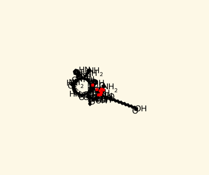 CCCC[C@H](NC(=O)[C@H](CO)NC(=O)[C@H](Cc1c[nH]cn1)NC(=O)C(CCC(N)=O)NC(=O)[C@H](CO)NC(=O)CNC(=O)CCCCCCCCCCCCCCC(=O)O)C(=O)N[C@H]1CCC(=O)CNCCCC[C@@H](C(N)=O)NC(=O)[C@H](Cc2c[nH]c3ccccc23)NC(=O)[C@H](CCCNC(=N)N)NC(=O)[C@@H](Cc2ccccc2)NC(=O)[C@@H]2C[C@@H](O)CN2C1=O